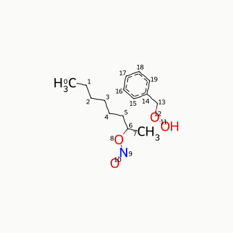 CCCCCCC(C)ON=O.OOCc1ccccc1